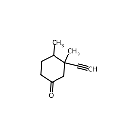 C#CC1(C)CC(=O)CCC1C